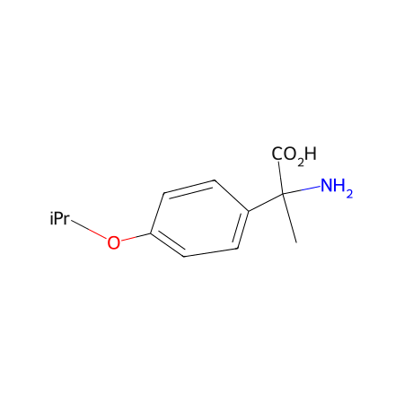 CC(C)Oc1ccc(C(C)(N)C(=O)O)cc1